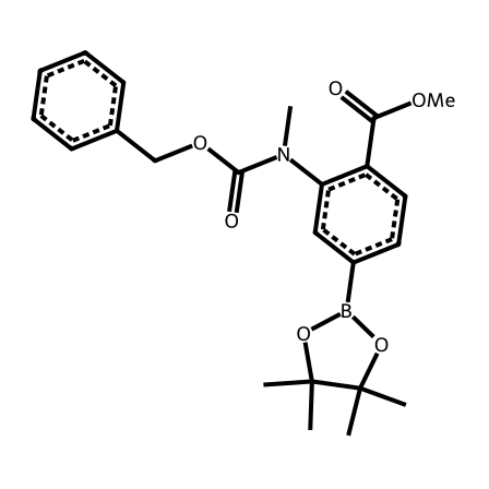 COC(=O)c1ccc(B2OC(C)(C)C(C)(C)O2)cc1N(C)C(=O)OCc1ccccc1